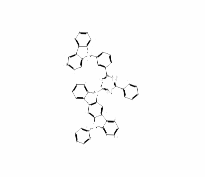 c1ccc(-c2nc(-c3cccc(-n4c5ccccc5c5ccccc54)c3)nc(-n3c4ccccc4c4cc5c(cc43)c3ccccc3n5-c3ccccc3)n2)cc1